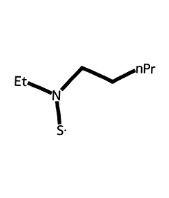 CCCCCN([S])CC